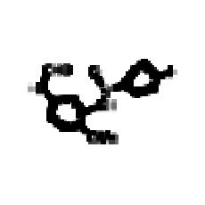 COc1ccc(NC=O)cc1N[S+]([O-])c1ccc(F)cc1